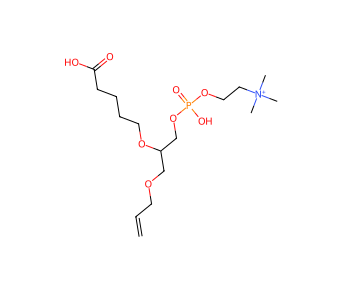 C=CCOCC(COP(=O)(O)OCC[N+](C)(C)C)OCCCCC(=O)O